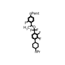 CCCCCc1ccc(C(C)OC(F)(F)c2ccc(C3CCC(CCC)CC3)c(F)c2F)c(F)c1